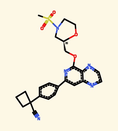 CS(=O)(=O)N1CCO[C@H](COc2nc(-c3ccc(C4(C#N)CCC4)cc3)cc3nccnc23)C1